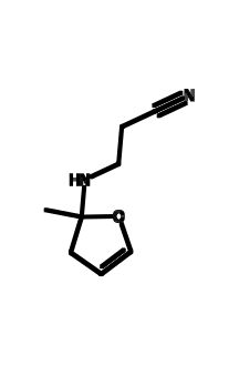 CC1(NCCC#N)CC=CO1